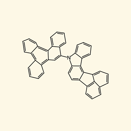 c1cc2c3c(cccc3c1)-c1c-2ccc2c1c1ccccc1n2-c1cc2c3ccccc3c3ccccc3c2c2ccccc12